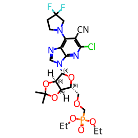 CCOP(=O)(COC[C@H]1O[C@@H](n2cnc3c(N4CCC(F)(F)C4)c(C#N)c(Cl)nc32)[C@@H]2OC(C)(C)O[C@@H]21)OCC